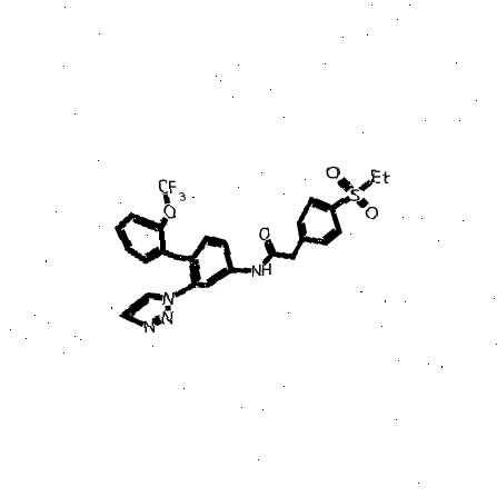 CCS(=O)(=O)c1ccc(CC(=O)Nc2ccc(-c3ccccc3OC(F)(F)F)c(-n3ccnn3)c2)cc1